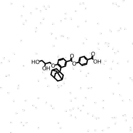 O=C(O)c1ccc(OC(=O)c2ccc(OCC(O)CO)c(C34CC5CC(CC(C5)C3)C4)c2)cc1